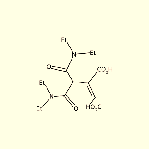 CCN(CC)C(=O)C(C(=O)N(CC)CC)/C(=C\C(=O)O)C(=O)O